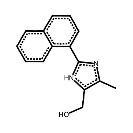 Cc1nc(-c2cccc3ccccc23)[nH]c1CO